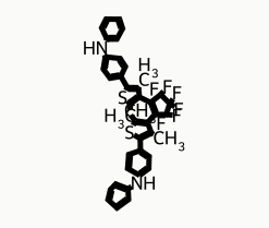 Cc1sc(-c2ccc(Nc3ccccc3)cc2)c(C)c1C1=C(c2c(C)sc(-c3ccc(Nc4ccccc4)cc3)c2C)C(F)(F)C(F)(F)C1(F)F